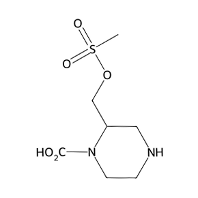 CS(=O)(=O)OCC1CNCCN1C(=O)O